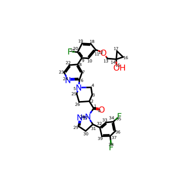 O=C(C1CCN(c2cc(-c3cc(OCC4(O)CC4)ccc3F)ccn2)CC1)N1N=CCC1c1cc(F)cc(F)c1